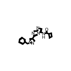 O=C(Nc1cnc2cnc(-c3cnn(Cc4ccccc4)c3)cn12)C1CCC1